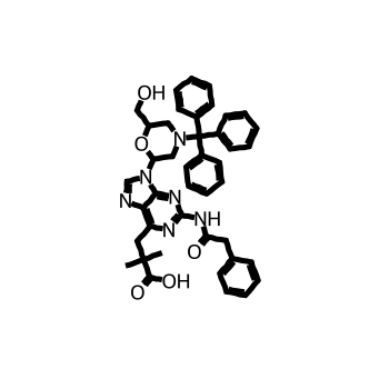 CC(C)(Cc1nc(NC(=O)Cc2ccccc2)nc2c1ncn2C1CN(C(c2ccccc2)(c2ccccc2)c2ccccc2)CC(CO)O1)C(=O)O